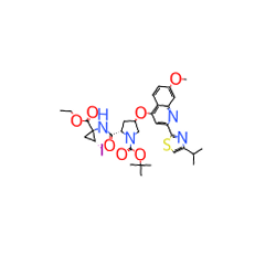 CCOC(=O)[C@@]1(NC(=O)[C@@H]2C[C@@H](Oc3cc(-c4nc(C(C)C)cs4)nc4cc(OC)ccc34)CN2C(=O)OC(C)(C)C)C[C@H]1I